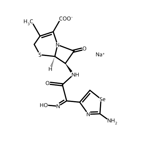 CC1=C(C(=O)[O-])N2C(=O)[C@@H](NC(=O)/C(=N\O)c3c[se]c(N)n3)[C@H]2SC1.[Na+]